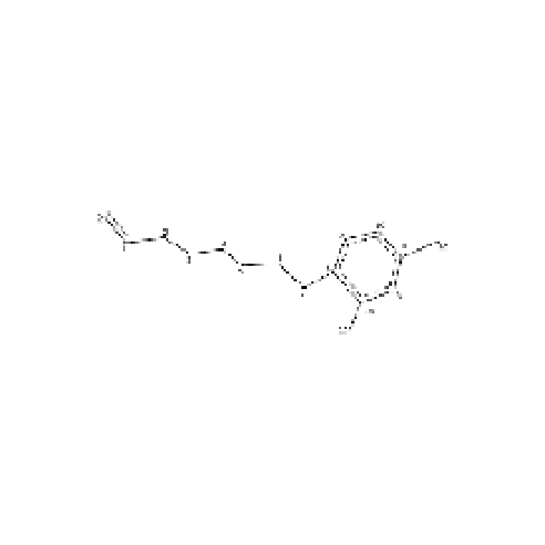 [CH]=CCCCCCCc1ccc(C)cc1C